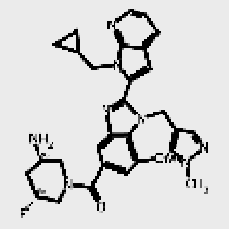 COc1cc(C(=O)N2C[C@H](N)C[C@@H](F)C2)cc2nc(-c3cc4cccnc4n3CC3CC3)n(Cc3cnn(C)c3)c12